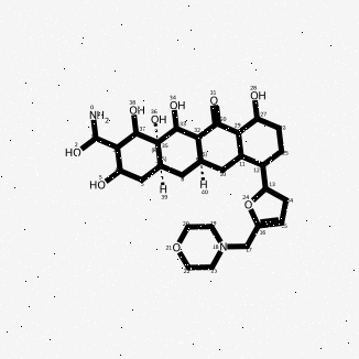 NC(O)C1C(O)C[C@@H]2C[C@@H]3CC4C(C5CC=C(CN6CCOCC6)O5)CCC(O)C4C(=O)C3C(O)[C@]2(O)C1O